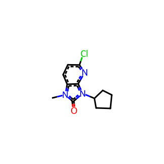 Cn1c(=O)n(C2CCCC2)c2nc(Cl)ccc21